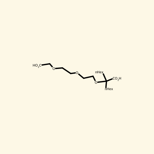 CCCCCCC(CCCCCC)(OCCOCCOCC(=O)O)C(=O)O